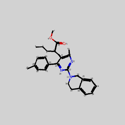 CCCC(C(=O)OC)c1c(C)nc(N2CCc3ccccc3C2)nc1-c1ccc(C)cc1